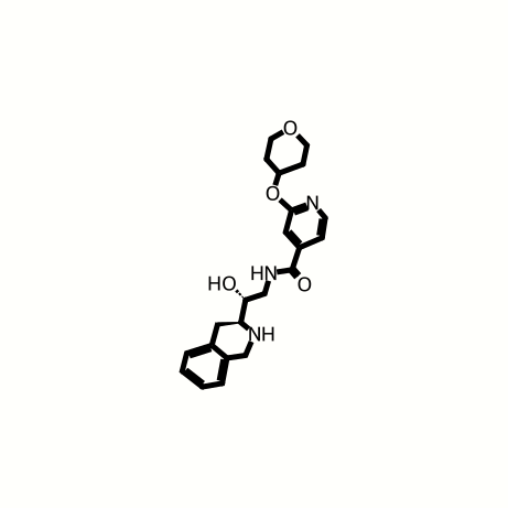 O=C(NC[C@@H](O)[C@@H]1Cc2ccccc2CN1)c1ccnc(OC2CCOCC2)c1